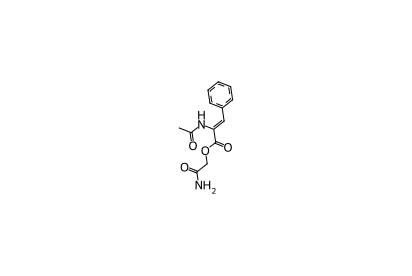 CC(=O)NC(=Cc1ccccc1)C(=O)OCC(N)=O